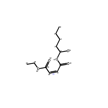 CCCCC(Cl)OC(=O)/C=C\C(=O)OCC